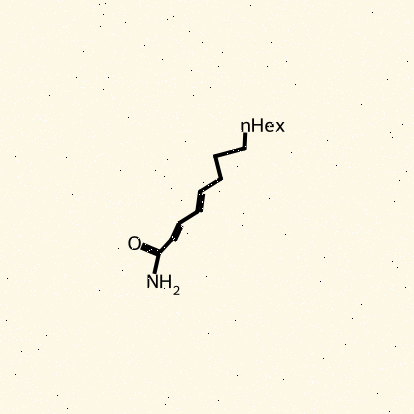 CCCCCCCCCC=CC=CC(N)=O